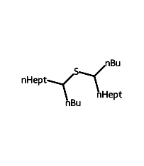 CCCCCCCC(CCCC)SC(CCCC)CCCCCCC